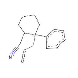 C=CCC1(c2ccccc2)CCCCC1C#N